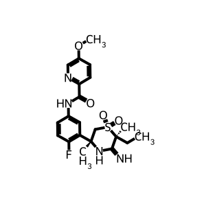 CC[C@@]1(C)C(=N)N[C@](C)(c2cc(NC(=O)c3ccc(OC)cn3)ccc2F)CS1(=O)=O